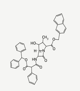 CC1C(O)[C@@H]2C(NC(=O)C(C(=O)OC(c3ccccc3)c3ccccc3)c3ccccc3)C(=O)N2C1C(=O)OCc1ccc2ccccc2c1